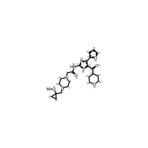 COC1(CN2CCN(CC(=O)Nc3nc(-c4ccco4)c(C(=O)C4CCOCC4)s3)CC2)CC1